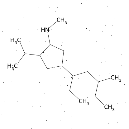 CCC(C)CC(CC)C1CC(NC)C(C(C)C)C1